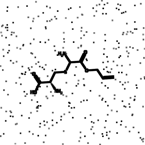 C=CCOC(=O)C(N)SC[C@H](N)C(=O)O